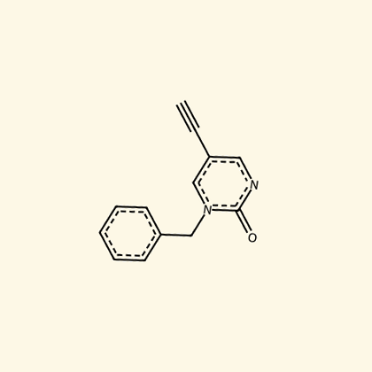 C#Cc1cnc(=O)n(Cc2ccccc2)c1